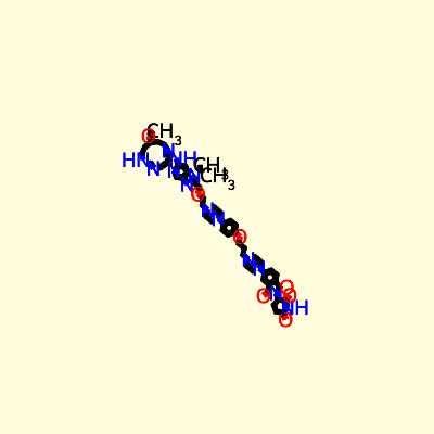 COC1CC\N=C(Nc2cc3c(cn2)nc(COCCN2CCN(c4ccc(OCCCN5CCN(c6ccc7c(c6)C(=O)N(C6CCC(=O)NC6=O)C7=O)CC5)cc4)CC2)n3C(C)C)/C=C\N=C\NCC1